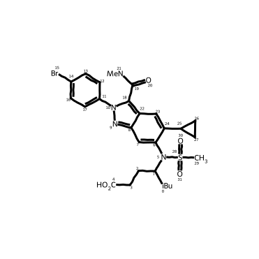 CCC(C)C(CCC(=O)O)N(c1cc2nn(-c3ccc(Br)cc3)c(C(=O)NC)c2cc1C1CC1)S(C)(=O)=O